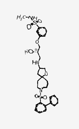 CNS(=O)(=O)c1cccc(OC[C@@H](O)CNC2COC3(CCN(S(=O)(=O)c4ccccc4-c4ccccc4)CC3)C2)c1